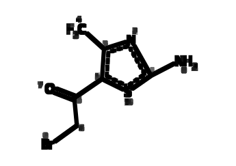 Nc1nc(C(F)(F)F)c(C(=O)CBr)s1